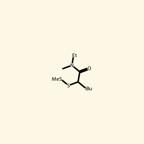 CCC(C)C(SSC)C(=O)N(C)CC